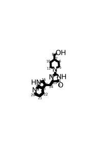 O=C1NC(N2CCC(CO)CC2)=N/C1=C\c1c[nH]c2ncccc12